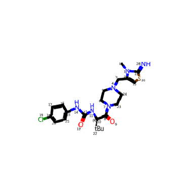 Cn1c(CN2CCN(C(=O)[C@H](NC(=O)Nc3ccc(Cl)cc3)C(C)(C)C)CC2)csc1=N